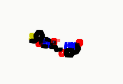 O=c1ccc2ccc(OCCCC[N+]3([O-])CC[N+]([O-])(c4cccc5sccc45)CC3)cc2[nH]1